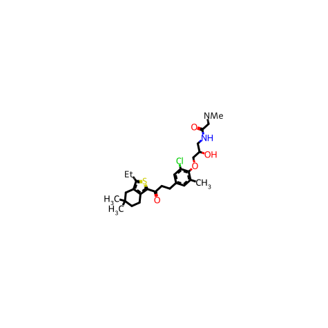 CCc1sc(C(=O)CCc2cc(C)c(OCC(O)CNC(=O)CNC)c(Cl)c2)c2c1CC(C)(C)CC2